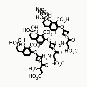 N[C@@H](CC(=O)O)C(=O)N1CC(Oc2ccc3c(c2C(=O)O)O[B-](O)(O)CC3)C1.N[C@@H](CC(=O)O)C(=O)N1CC(Oc2ccc3c(c2C(=O)O)O[B-](O)(O)CC3)C1.N[C@@H](CC(=O)O)C(=O)N1CC(Oc2ccc3c(c2C(=O)O)O[B-](O)(O)CC3)C1.[Na+].[Na+].[Na+]